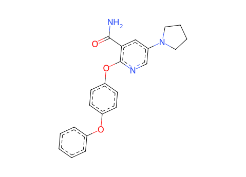 NC(=O)c1cc(N2CCCC2)cnc1Oc1ccc(Oc2ccccc2)cc1